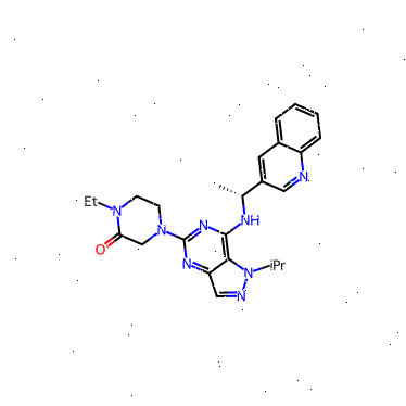 CCN1CCN(c2nc(N[C@H](C)c3cnc4ccccc4c3)c3c(cnn3C(C)C)n2)CC1=O